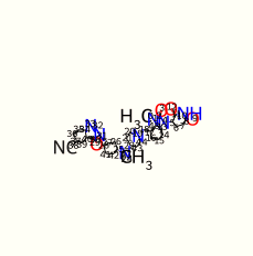 Cn1c(=O)n(C2CCC(=O)NC2=O)c2cccc(CN3CCC(N(C)[C@H]4CC[C@H](Oc5ncnc6ccc(C#N)cc56)CC4)CC3)c21